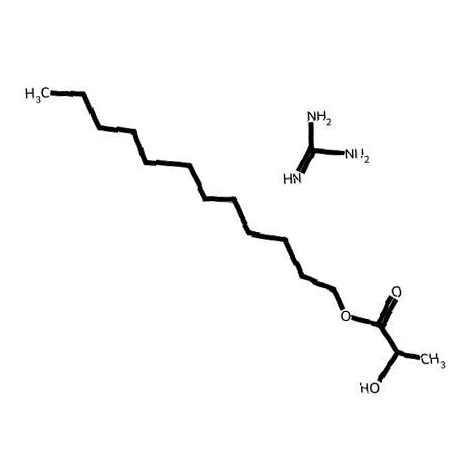 CCCCCCCCCCCCOC(=O)C(C)O.N=C(N)N